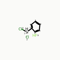 Cl[SiH](Cl)c1ccccc1.F